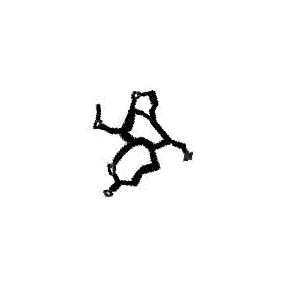 COc1c2occc2c(CBr)c2ccc(=O)oc12